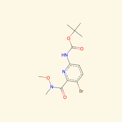 CON(C)C(=O)c1nc(NC(=O)OC(C)(C)C)ccc1Br